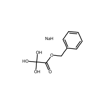 O=C(OCc1ccccc1)C(O)(O)O.[NaH]